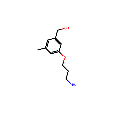 Cc1[c]c(CO)cc(OCCCN)c1